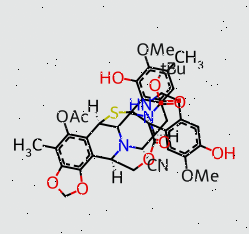 COc1cc2c(cc1O)CCN[C@]21CS[C@@H]2c3c(OC(C)=O)c(C)c4c(c3[C@H](COC1=O)N1C2C2c3c(cc(C)c(OC)c3O)C[C@@H]([C@@H]1C#N)N2C(=O)OC(C)(C)C)OCO4